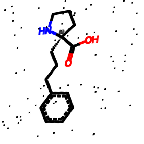 O=C(O)[C@]1(CCCc2ccccc2)CCCN1